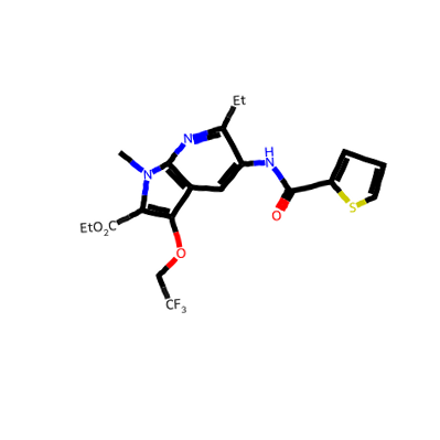 CCOC(=O)c1c(OCC(F)(F)F)c2cc(NC(=O)c3cccs3)c(CC)nc2n1C